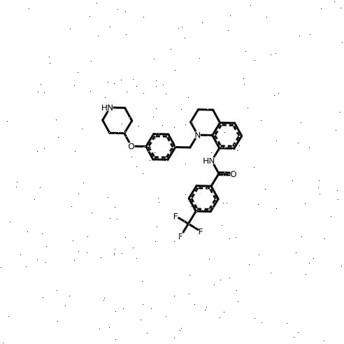 O=C(Nc1cccc2c1N(Cc1ccc(OC3CCNCC3)cc1)CCC2)c1ccc(C(F)(F)F)cc1